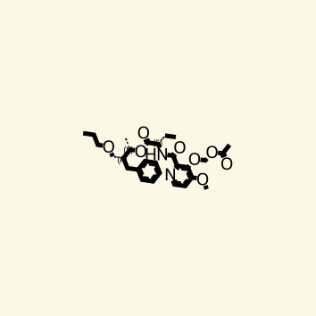 CCCOC[C@@H](Cc1ccccc1)[C@H](C)OC(=O)[C@H](CC)NC(=O)c1nccc(OC)c1OCOC(C)=O